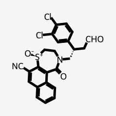 N#Cc1cc2ccccc2c2c1[S@@+]([O-])CCN(C[C@@H](CC=O)c1ccc(Cl)c(Cl)c1)C2=O